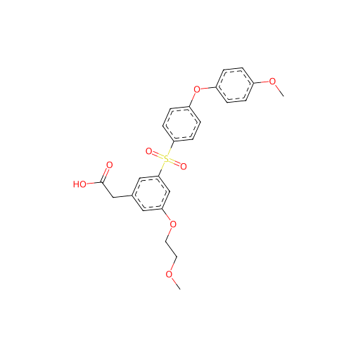 COCCOc1cc(CC(=O)O)cc(S(=O)(=O)c2ccc(Oc3ccc(OC)cc3)cc2)c1